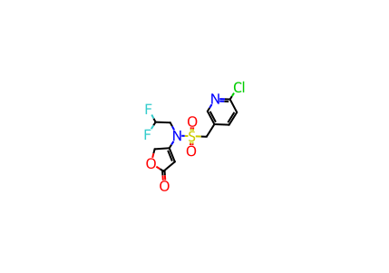 O=C1C=C(N(CC(F)F)S(=O)(=O)Cc2ccc(Cl)nc2)CO1